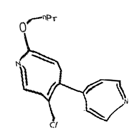 CCCOc1cc(-c2[c]cncc2)c(Cl)cn1